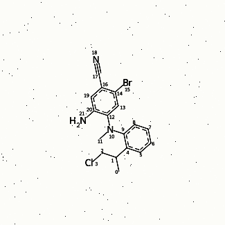 CC(CCl)c1ccccc1N(C)c1cc(Br)c(C#N)cc1N